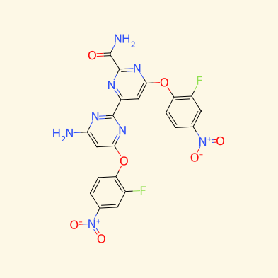 NC(=O)c1nc(Oc2ccc([N+](=O)[O-])cc2F)cc(-c2nc(N)cc(Oc3ccc([N+](=O)[O-])cc3F)n2)n1